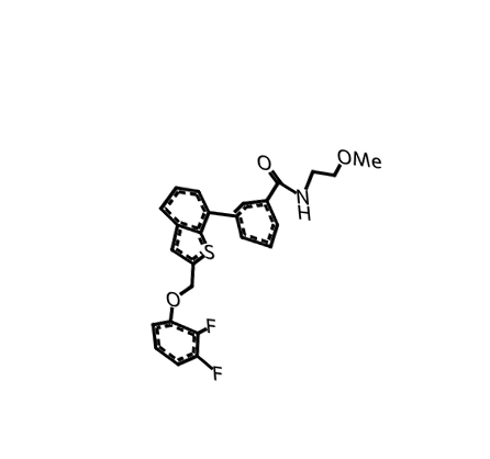 COCCNC(=O)c1cccc(-c2cccc3cc(COc4cccc(F)c4F)sc23)c1